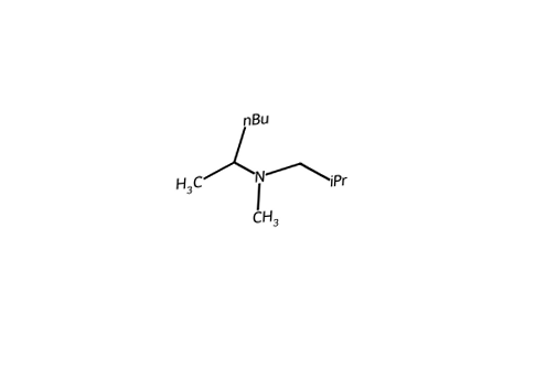 CCCCC(C)N(C)CC(C)C